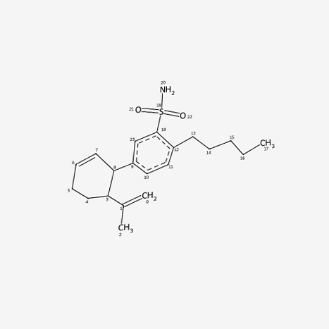 C=C(C)C1CCC=CC1c1ccc(CCCCC)c(S(N)(=O)=O)c1